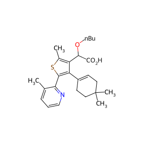 CCCCOC(C(=O)O)c1c(C)sc(-c2ncccc2C)c1C1=CCC(C)(C)CC1